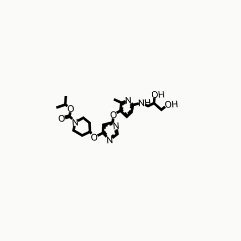 Cc1nc(NCC(O)CO)ccc1Oc1cc(OC2CCN(C(=O)OC(C)C)CC2)ncn1